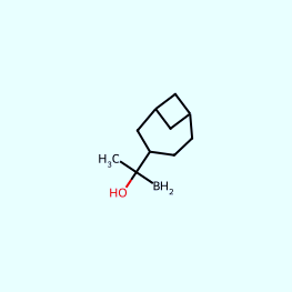 BC(C)(O)C1CCC2CC(C2)C1